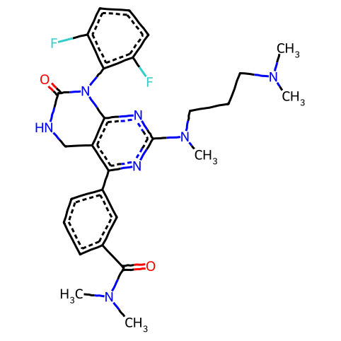 CN(C)CCCN(C)c1nc(-c2cccc(C(=O)N(C)C)c2)c2c(n1)N(c1c(F)cccc1F)C(=O)NC2